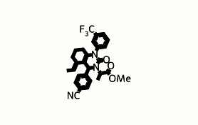 CC=C1CCCC2=C1C(c1ccc(C#N)cc1)N(C(C)C(=O)OC)C(=O)N2c1cccc(C(F)(F)F)c1